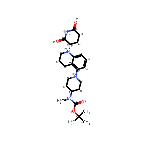 CN(C(=O)OC(C)(C)C)C1CCN(c2cccc3c2CCCN3[C@H]2CCC(=O)NC2=O)CC1